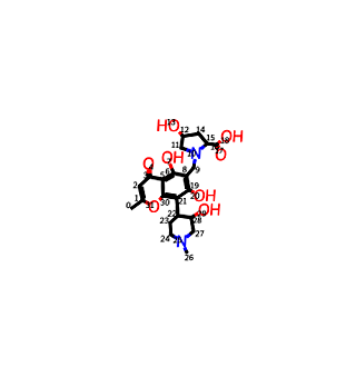 Cc1cc(=O)c2c(O)c(CN3CC(O)CC3C(=O)O)c(O)c(C3CCN(C)CC3O)c2o1